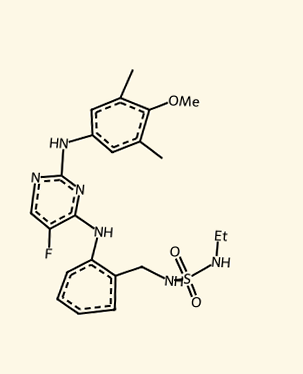 CCNS(=O)(=O)NCc1ccccc1Nc1nc(Nc2cc(C)c(OC)c(C)c2)ncc1F